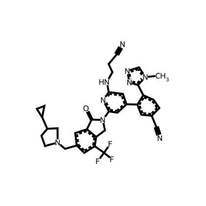 Cn1cnnc1-c1ccc(C#N)cc1-c1cc(NCCC#N)nc(N2Cc3c(cc(CN4CCC(C5CC5)C4)cc3C(F)(F)F)C2=O)c1